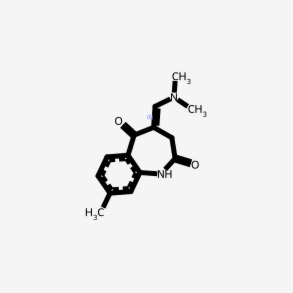 Cc1ccc2c(c1)NC(=O)C/C(=C\N(C)C)C2=O